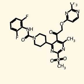 Cc1nc(S(C)(=O)=O)nc(C2CCN(C(=O)Nc3c(F)cccc3F)CC2)c1C(=O)COc1ccnc(C(F)(F)F)n1